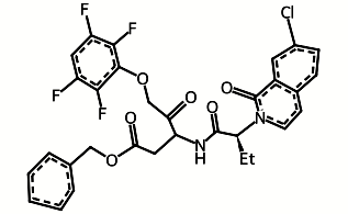 CC[C@@H](C(=O)NC(CC(=O)OCc1ccccc1)C(=O)COc1c(F)c(F)cc(F)c1F)n1ccc2ccc(Cl)cc2c1=O